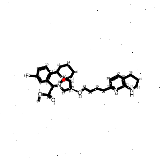 COC(=O)C(c1cc(F)ccc1C1CCCCO1)N1CC[C@@H](OCCCCc2ccc3c(n2)NCCC3)C1